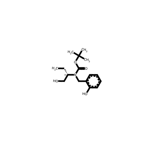 CC[C@@H](CO)N(Cc1ccccc1O)C(=O)OC(C)(C)C